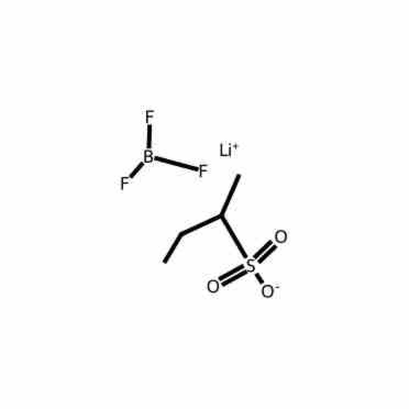 CCC(C)S(=O)(=O)[O-].FB(F)F.[Li+]